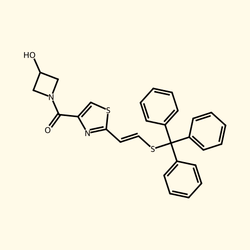 O=C(c1csc(C=CSC(c2ccccc2)(c2ccccc2)c2ccccc2)n1)N1CC(O)C1